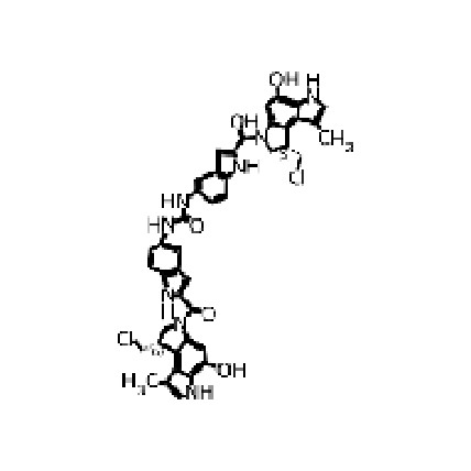 Cc1c[nH]c2c(O)cc3c(c12)[C@H](CCl)CN3C(=O)c1cc2cc(NC(=O)Nc3ccc4[nH]c(C(O)N5C[C@@H](CCl)c6c5cc(O)c5[nH]cc(C)c65)cc4c3)ccc2[nH]1